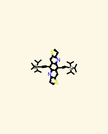 CC(C)[Si](C#Cc1c2cc3sccc3nc2c(C#C[Si](C(C)C)(C(C)C)C(C)C)c2cc3sccc3nc12)(C(C)C)C(C)C